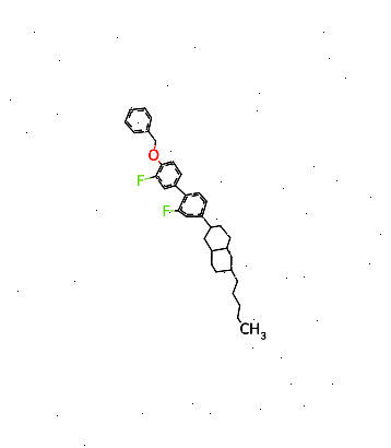 CCCCCC1CCC2CC(c3ccc(-c4ccc(OCc5ccccc5)c(F)c4)c(F)c3)CCC2C1